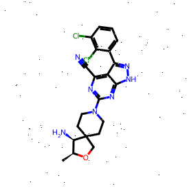 C[C@@H]1OCC2(CCN(c3nc(C#N)c4c(-c5cccc(Cl)c5Cl)n[nH]c4n3)CC2)[C@@H]1N